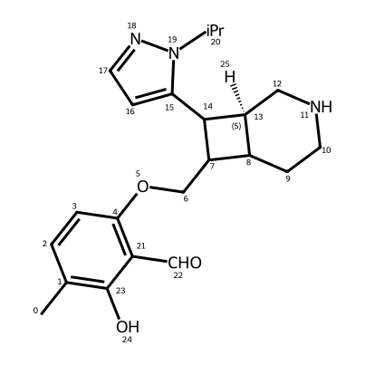 Cc1ccc(OCC2C3CCNC[C@@H]3C2c2ccnn2C(C)C)c(C=O)c1O